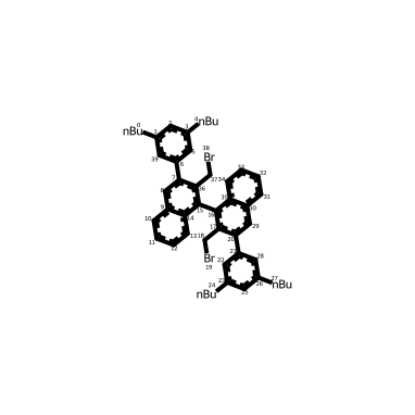 CCCCc1cc(CCCC)cc(-c2cc3ccccc3c(-c3c(CBr)c(-c4cc(CCCC)cc(CCCC)c4)cc4ccccc34)c2CBr)c1